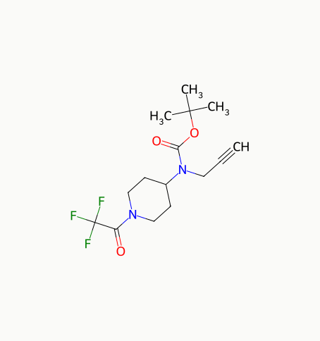 C#CCN(C(=O)OC(C)(C)C)C1CCN(C(=O)C(F)(F)F)CC1